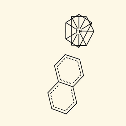 [CH]12[CH]3[CH]4[CH]5[CH]1[Fe]23451678[CH]2[CH]1[CH]6[CH]7[CH]28.c1ccc2ccccc2c1